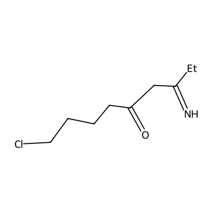 CCC(=N)CC(=O)CCCCCl